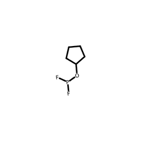 FP(F)OC1CCCC1